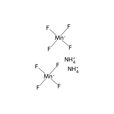 [F][Mn-]([F])([F])[F].[F][Mn-]([F])([F])[F].[NH4+].[NH4+]